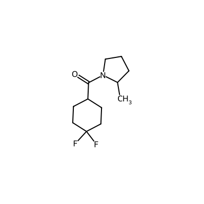 CC1CCCN1C(=O)C1CCC(F)(F)CC1